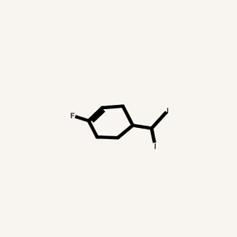 FC1=CCC(C(I)I)CC1